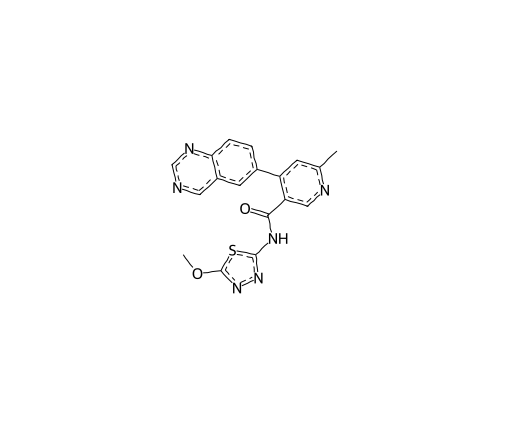 COc1nnc(NC(=O)c2cnc(C)cc2-c2ccc3ncncc3c2)s1